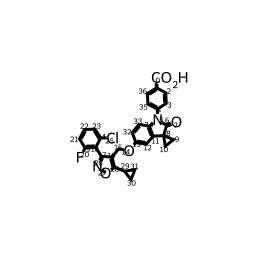 O=C(O)c1ccc(N2C(=O)C3(CC3)c3cc(OCc4c(-c5c(F)cccc5Cl)noc4C4CC4)ccc32)cc1